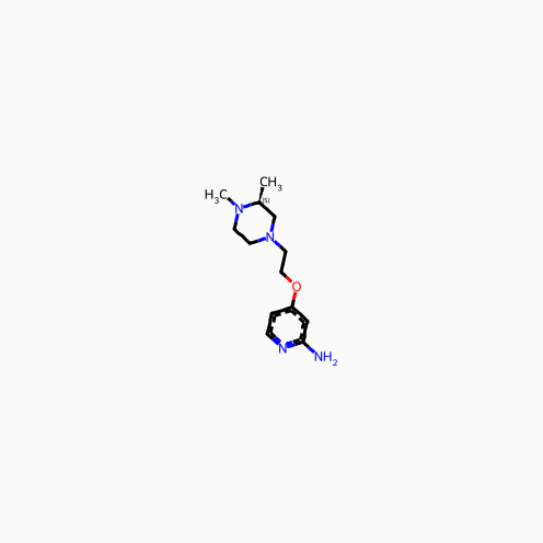 C[C@H]1CN(CCOc2ccnc(N)c2)CCN1C